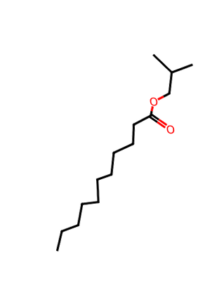 CCCCCCCCCCC(=O)OCC(C)C